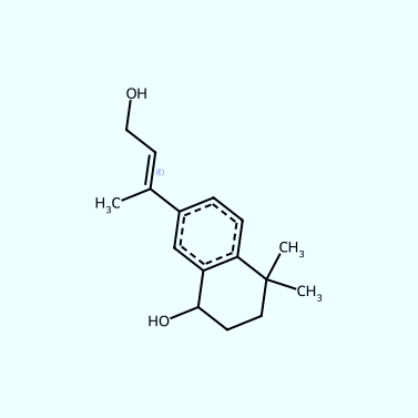 C/C(=C\CO)c1ccc2c(c1)C(O)CCC2(C)C